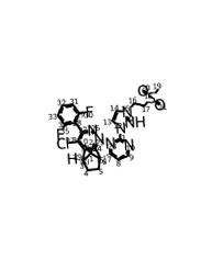 CC1(C)[C@H]2CC[C@]1(c1ccnc(N3C=CN(CCS(C)(=O)=O)N3)n1)c1nnc(-c3c(F)cccc3F)c(Cl)c12